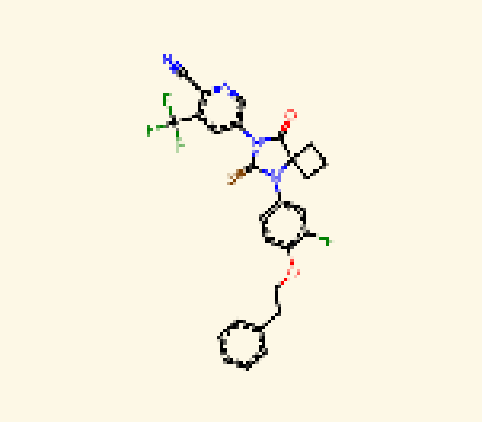 N#Cc1ncc(N2C(=O)C3(CCC3)N(c3ccc(OCCc4ccccc4)c(F)c3)C2=S)cc1C(F)(F)F